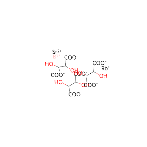 O=C([O-])C(O)C(O)C(=O)[O-].O=C([O-])C(O)C(O)C(=O)[O-].O=C([O-])C(O)C(O)C(=O)[O-].[B+3].[Rb+].[Sr+2]